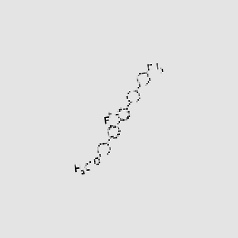 CCOC1CCC(c2ccc(-c3ccc(C4CCC(C5CCC(C)CC5)CC4)cc3F)c(F)c2)CC1